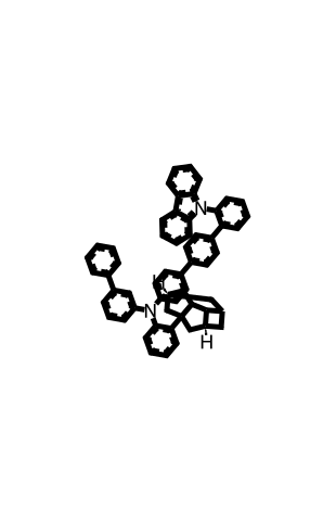 c1ccc(-c2cccc(N(c3ccc(-c4ccc(-c5ccccc5-n5c6ccccc6c6ccccc65)cc4)cc3)c3ccccc3C34C[C@@H]5CC6C[C@@H](C3)C6C4C5)c2)cc1